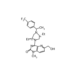 CC[C@H]1CN(C(C)c2ccc(C(F)(F)F)cc2)[C@H](CC)CN1c1nc(=O)n(C)c2ccc(CO)nc12